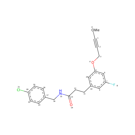 COC#CCOc1cc(F)cc(CCC(=O)NCc2ccc(Cl)cc2)c1